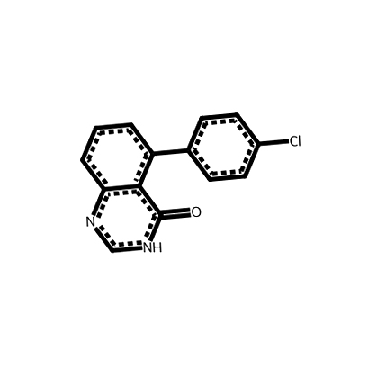 O=c1[nH]cnc2cccc(-c3ccc(Cl)cc3)c12